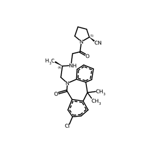 C[C@H](CN1C(=O)c2cc(Cl)ccc2C(C)(C)c2ccccc21)NCC(=O)N1CCC[C@H]1C#N